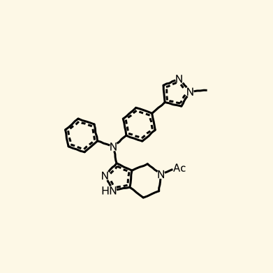 CC(=O)N1CCc2[nH]nc(N(c3ccccc3)c3ccc(-c4cnn(C)c4)cc3)c2C1